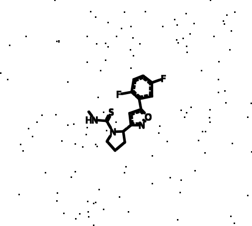 CNC(=S)N1CCCC1c1cc(-c2cc(F)ccc2F)on1